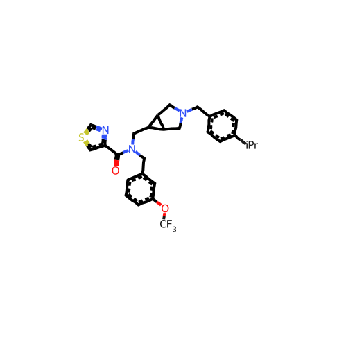 CC(C)c1ccc(CN2CC3C(C2)C3CN(Cc2cccc(OC(F)(F)F)c2)C(=O)c2cscn2)cc1